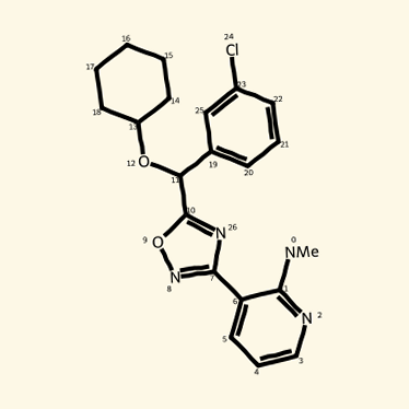 CNc1ncccc1-c1noc(C(OC2CCCCC2)c2cccc(Cl)c2)n1